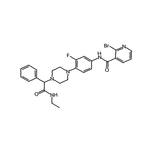 CCNC(=O)C(c1ccccc1)N1CCN(c2ccc(NC(=O)c3cccnc3Br)cc2F)CC1